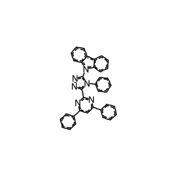 c1ccc(-c2cc(-c3ccccc3)nc(-c3nnc(-n4c5ccccc5c5ccccc54)n3-c3ccccc3)n2)cc1